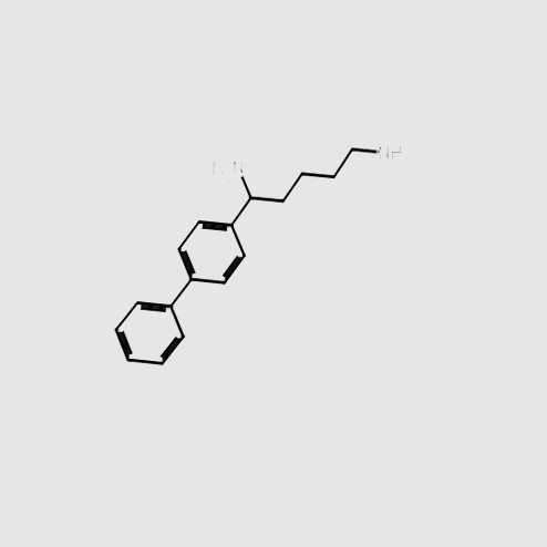 NCCCCC(N)c1ccc(-c2ccccc2)cc1